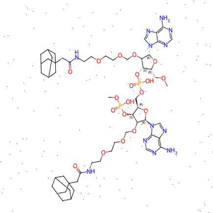 COC[C@H]1O[C@@H](n2cnc3c(N)ncnc32)C(OCOCCOCCNC(=O)CC23CC4CC(CC(C4)C2)C3)[C@H]1OP(=O)(O)OC[C@H]1O[C@@H](n2cnc3c(N)ncnc32)C(OCOCCOCCNC(=O)CC23CC4CC(CC(C4)C2)C3)[C@H]1OP(=O)(O)OC